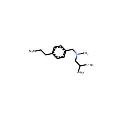 CCCCCCC(CCCCCC)CN(C)Cc1ccc(CCNC)cc1